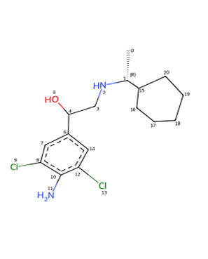 C[C@@H](NCC(O)c1cc(Cl)c(N)c(Cl)c1)C1CCCCC1